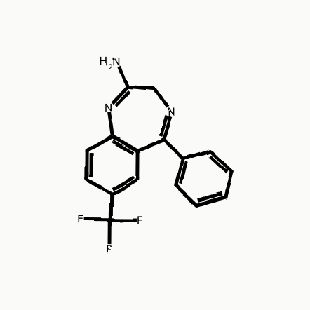 NC1=Nc2ccc(C(F)(F)F)cc2C(c2ccccc2)=NC1